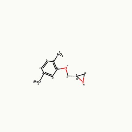 COc1ccc([N+](=O)[O-])c(OC[C@@H]2CO2)c1